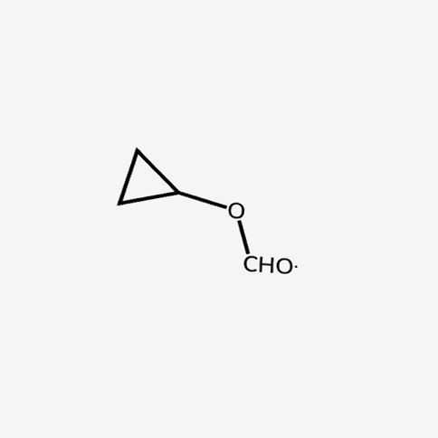 O=[C]OC1CC1